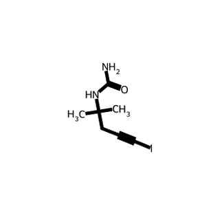 CC(C)(CC#CI)NC(N)=O